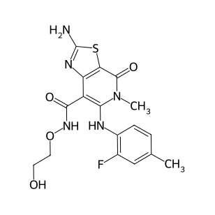 Cc1ccc(Nc2c(C(=O)NOCCO)c3nc(N)sc3c(=O)n2C)c(F)c1